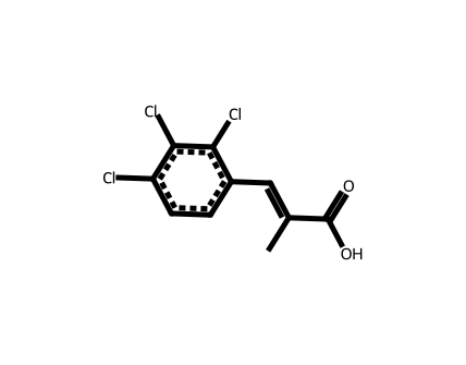 C/C(=C\c1ccc(Cl)c(Cl)c1Cl)C(=O)O